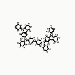 c1ccc(C(c2ccc(-c3ccc(N(c4ccccc4)c4ccc5c(c4)c4ccccc4n5-c4ccccc4)cc3)cc2)c2ccc3c(c2)c2ccccc2n3-c2ccccc2)cc1